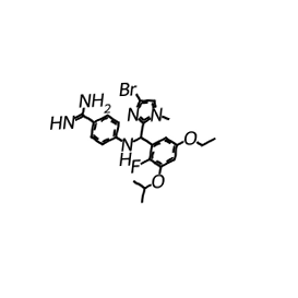 CCOc1cc(OC(C)C)c(F)c(C(Nc2ccc(C(=N)N)cc2)c2nc(Br)cn2C)c1